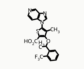 Cc1c(-n2cnc3cnccc32)sc(C(=O)O)c1OC(C)c1ccccc1C(F)(F)F